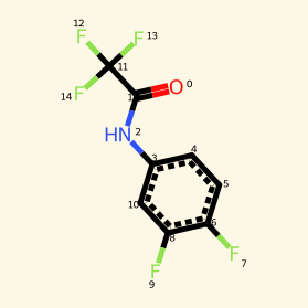 O=C(Nc1ccc(F)c(F)c1)C(F)(F)F